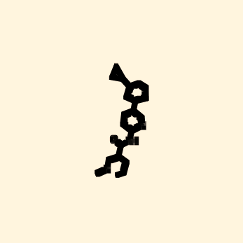 C=N/C=C(\C=C/C)C(=O)Nc1ccc(-c2cccc(C3CC3)c2)cn1